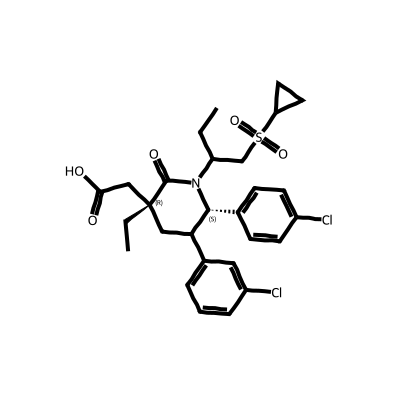 CCC(CS(=O)(=O)C1CC1)N1C(=O)[C@@](CC)(CC(=O)O)CC(c2cccc(Cl)c2)[C@H]1c1ccc(Cl)cc1